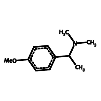 COc1ccc(C(C)N(C)C)cc1